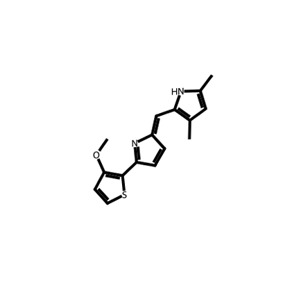 COc1ccsc1C1=NC(=Cc2[nH]c(C)cc2C)C=C1